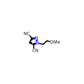 COCCn1nc(C#N)cc1C#N